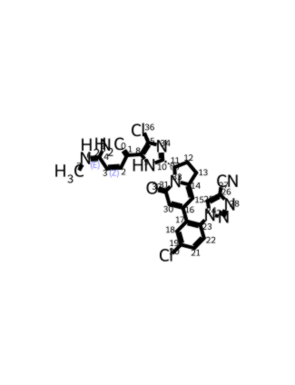 C=C(/C=C\C(N)=N/C)c1[nH]c([C@@H]2CCc3cc(-c4cc(Cl)ccc4-n4cc(C#N)nn4)cc(=O)n32)nc1Cl